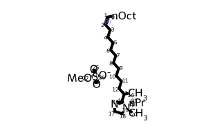 CCCCCCCC/C=C\CCCCCCCCCCC(C)C1=NCC[N+]1(C)CCC.COS(=O)(=O)[O-]